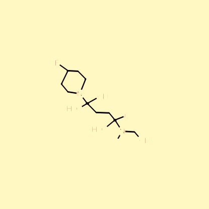 CCN(C)C(C)(C)CCC(C)(C)N1CCC(F)CC1